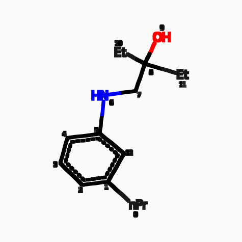 C[CH]Cc1cccc(NCC(O)(CC)CC)c1